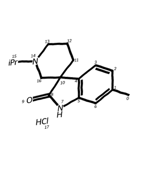 Cc1ccc2c(c1)NC(=O)C21CCCN(C(C)C)C1.Cl